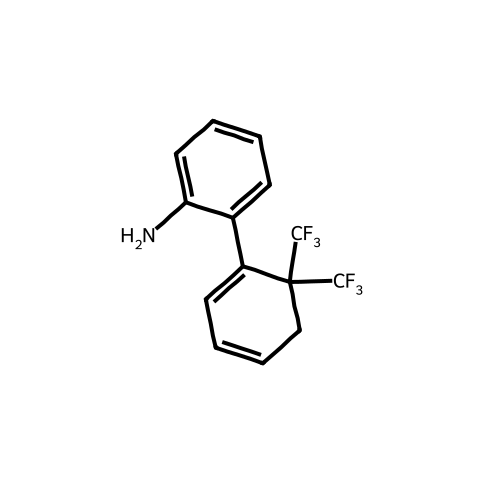 Nc1ccccc1C1=CC=CCC1(C(F)(F)F)C(F)(F)F